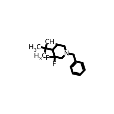 CC(C)(C)C1CCN(Cc2ccccc2)CC1(F)F